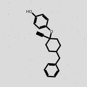 C#CC1(Oc2ccc(O)cc2)CCC(Cc2ccccc2)CC1